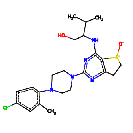 Cc1cc(Cl)ccc1N1CCN(c2nc3c(c(NC(CO)C(C)C)n2)[S+]([O-])CC3)CC1